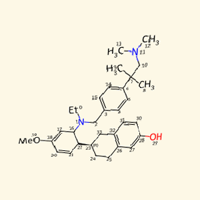 CCN(Cc1ccc(C(C)(C)CN(C)C)cc1)C1C=C(OC)C=CC1[C@@H]1CCc2cc(O)ccc2C1